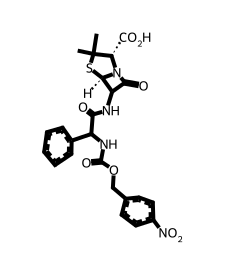 CC1(C)S[C@@H]2C(NC(=O)C(NC(=O)OCc3ccc([N+](=O)[O-])cc3)c3ccccc3)C(=O)N2[C@H]1C(=O)O